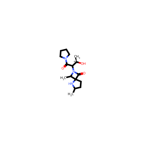 CC1CCC2(N1)C(=O)N(C(C(=O)N1CCCC1)[C@@H](C)O)C2C